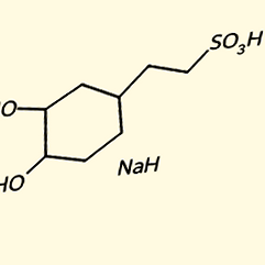 O=S(=O)(O)CCC1CCC(O)C(O)C1.[NaH]